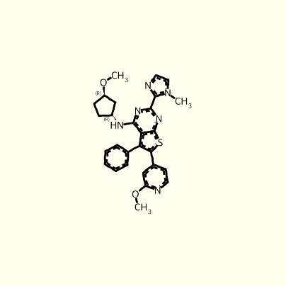 COc1cc(-c2sc3nc(-c4nccn4C)nc(N[C@@H]4CC[C@@H](OC)C4)c3c2-c2ccccc2)ccn1